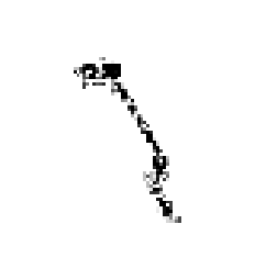 CC(C)(C)c1cnc(CSc2cnc(NC(=O)C3CCN(CCCCCCOCCOCCOCCCCNc4cccc5c4C(=O)N(C4CCC(=O)NC4=O)C5=O)CC3)s2)o1